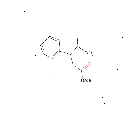 COC(=O)CC(c1ccccc1)C(C)[N+](=O)[O-]